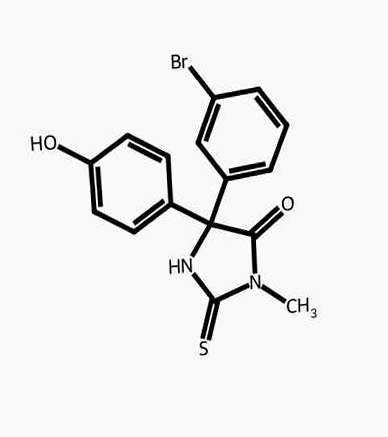 CN1C(=O)C(c2ccc(O)cc2)(c2cccc(Br)c2)NC1=S